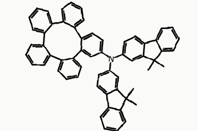 CC1(C)c2ccccc2-c2ccc(N(c3ccc4c(c3)C(C)(C)c3ccccc3-4)c3ccc4c5ccccc5c5ccccc5c5ccccc5c5ccccc5c4c3)cc21